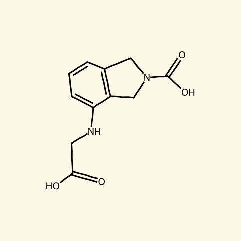 O=C(O)CNc1cccc2c1CN(C(=O)O)C2